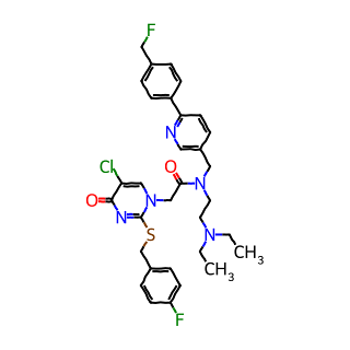 CCN(CC)CCN(Cc1ccc(-c2ccc(CF)cc2)nc1)C(=O)Cn1cc(Cl)c(=O)nc1SCc1ccc(F)cc1